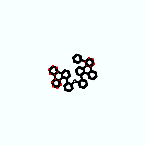 c1ccc(-c2ccccc2-c2cccc(-c3ccccc3Oc3ccccc3-c3cccc(-c4ccccc4-c4ccccc4)c3-c3ccccc3-c3ccccc3)c2-c2ccccc2-c2ccccc2)cc1